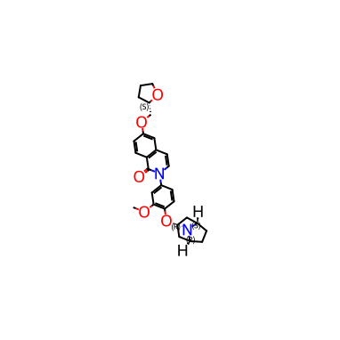 COc1cc(-n2ccc3cc(OC[C@@H]4CCCO4)ccc3c2=O)ccc1O[C@H]1C[C@H]2CC[C@@H](C1)N2C